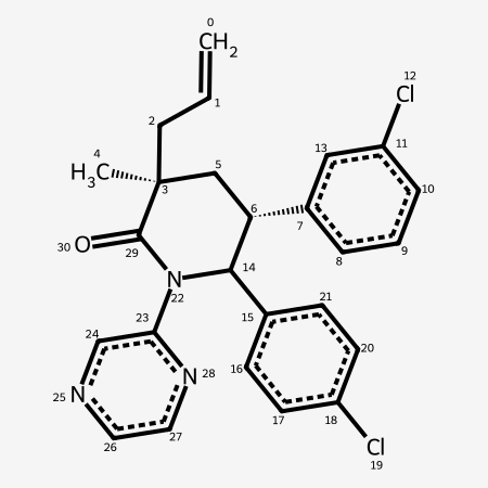 C=CC[C@@]1(C)C[C@H](c2cccc(Cl)c2)C(c2ccc(Cl)cc2)N(c2cnccn2)C1=O